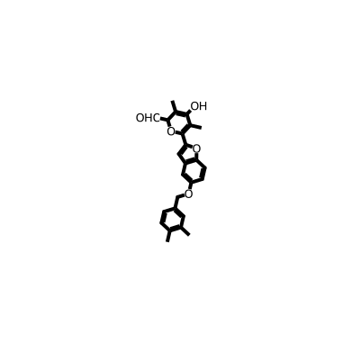 CC1=C(c2cc3cc(OCc4ccc(C)c(C)c4)ccc3o2)OC(C=O)C(C)=C1O